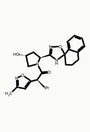 Cc1cc([C@@H](C(=O)N2C[C@H](O)C[C@H]2C2=NOC3(CCCc4ccccc43)N2)C(C)C)on1